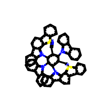 N#Cc1c(-n2c3ccccc3c3ccccc32)c(C#N)c(-n2c3ccccc3c3ccc4c5ccccc5sc4c32)c(-n2c3ccccc3c3ccccc32)c1-n1c2ccccc2c2ccc3c4ccccc4sc3c21